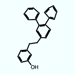 Oc1cccc(CCc2ccc(-c3ccccc3)c(-c3ccccc3)c2)c1